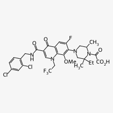 CCC1(C)CN(c2c(F)cc3c(=O)c(C(=O)NCc4ccc(Cl)cc4Cl)cn(CC(F)(F)F)c3c2OC)CC(C)N1C(=O)C(=O)O